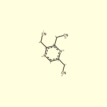 N#CCc1cnc(CC#N)c(CC#N)n1